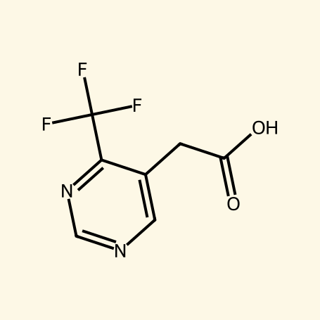 O=C(O)Cc1cncnc1C(F)(F)F